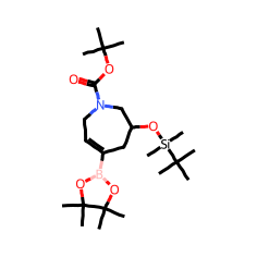 CC(C)(C)OC(=O)N1CC=C(B2OC(C)(C)C(C)(C)O2)CC(O[Si](C)(C)C(C)(C)C)C1